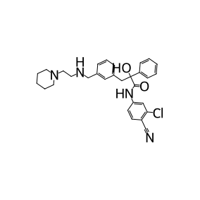 N#Cc1ccc(NC(=O)C(O)(Cc2cccc(CNCCN3CCCCC3)c2)c2ccccc2)cc1Cl